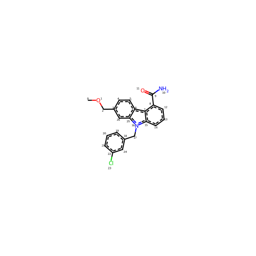 COCc1c[c]c2c3c(C(N)=O)cccc3n(Cc3cccc(Cl)c3)c2c1